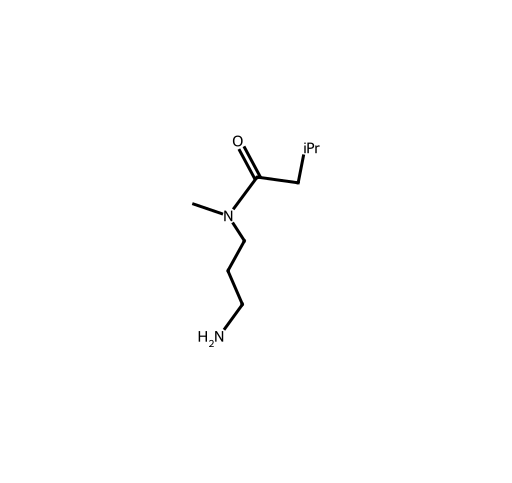 CC(C)CC(=O)N(C)CCCN